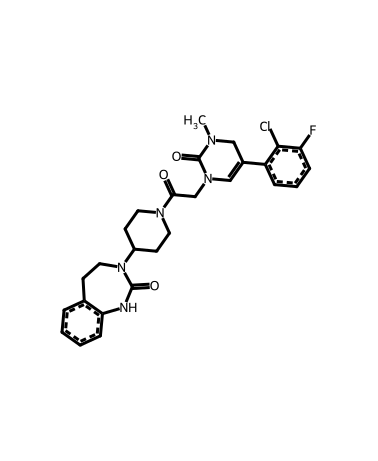 CN1CC(c2cccc(F)c2Cl)=CN(CC(=O)N2CCC(N3CCc4ccccc4NC3=O)CC2)C1=O